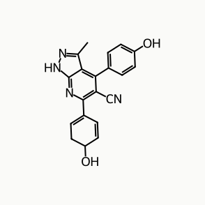 Cc1n[nH]c2nc(C3=CCC(O)C=C3)c(C#N)c(-c3ccc(O)cc3)c12